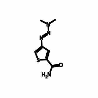 CN(C)N=Nc1csc(C(N)=O)c1